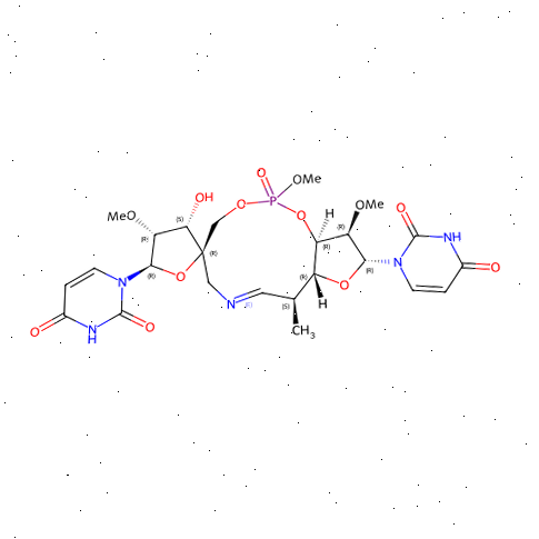 CO[C@@H]1[C@@H]2OP(=O)(OC)OC[C@@]3(C/N=C/[C@H](C)[C@H]2O[C@H]1n1ccc(=O)[nH]c1=O)O[C@@H](n1ccc(=O)[nH]c1=O)[C@H](OC)[C@@H]3O